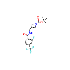 CC(C)(C)OC(=O)N1CC(CNC(=O)c2ccc(C(F)(F)F)cc2F)C1